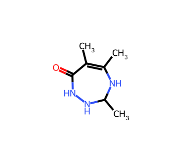 CC1=C(C)C(=O)NNC(C)N1